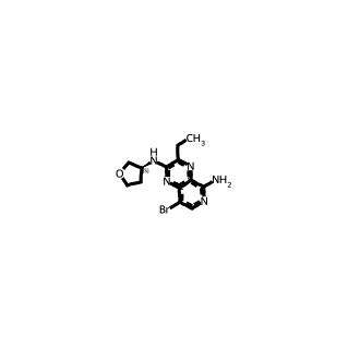 CCc1nc2c(N)ncc(Br)c2nc1N[C@H]1CCOC1